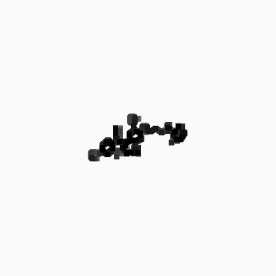 COc1cc2c(Nc3ccc(Cl)cc3F)ncnc2cc1OCCCSc1nccn1C